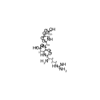 N=C(N)NCCC[C@H](N)C(=O)N[C@@H](CC(=O)O)C(=O)NCC(=O)N[C@@H](CC(=O)O)C(=O)O